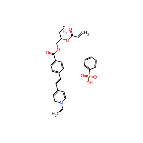 C=CC(=O)OC(CC)COC(=O)c1ccc(C=CC2=CCN(C=C)C=C2)cc1.O=S(=O)(O)c1ccccc1